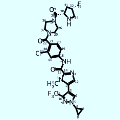 Cn1c(-c2cn(C3CC3)nc2C(F)(F)F)cnc1C(=O)Nc1ccc(C(=O)N2CCN(C(=O)[C@@H]3C[C@H](F)CN3)CC2)c(Cl)c1